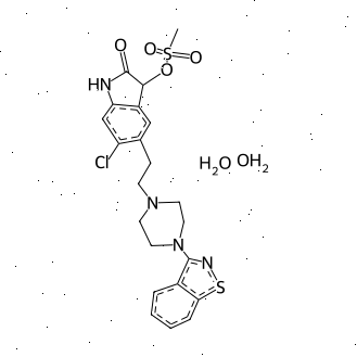 CS(=O)(=O)OC1C(=O)Nc2cc(Cl)c(CCN3CCN(c4nsc5ccccc45)CC3)cc21.O.O